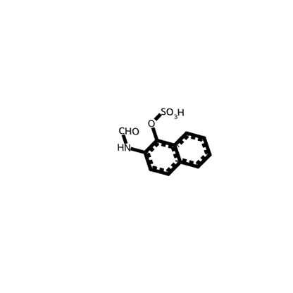 O=CNc1ccc2ccccc2c1OS(=O)(=O)O